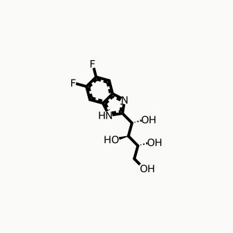 OC[C@@H](O)[C@@H](O)[C@@H](O)c1nc2cc(F)c(F)cc2[nH]1